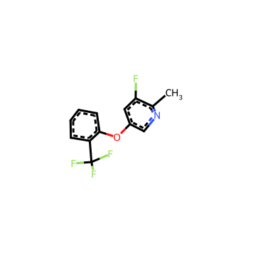 Cc1ncc(Oc2ccccc2C(F)(F)F)cc1F